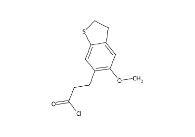 COc1cc2c(cc1CCC(=O)Cl)SCC2